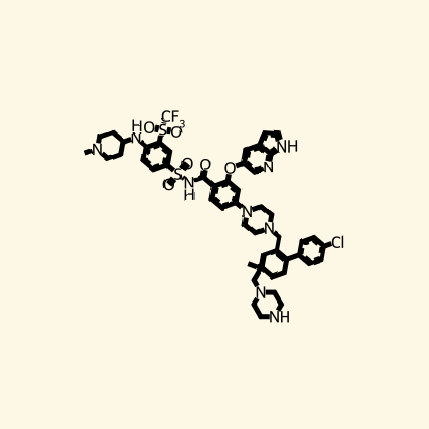 CN1CCC(Nc2ccc(S(=O)(=O)NC(=O)c3ccc(N4CCN(CC5=C(c6ccc(Cl)cc6)CCC(C)(CN6CCNCC6)C5)CC4)cc3Oc3cnc4[nH]ccc4c3)cc2S(=O)(=O)C(F)(F)F)CC1